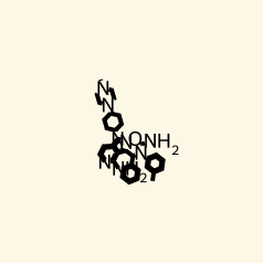 Cc1cccc(N(C(N)=O)C(c2ccccc2)c2nn(C3CCC(N4CCN(C)CC4)CC3)c3ccnc(N)c23)c1